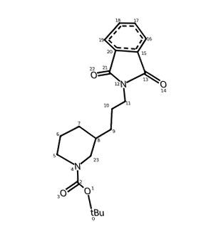 CC(C)(C)OC(=O)N1CCCC(CCCN2C(=O)c3ccccc3C2=O)C1